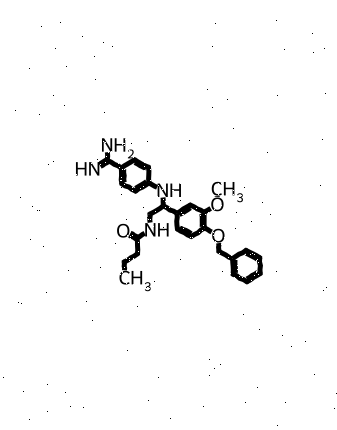 CCCC(=O)NCC(Nc1ccc(C(=N)N)cc1)c1ccc(OCc2ccccc2)c(OC)c1